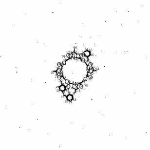 CC(C)C[C@H]1C(=O)O[C@H](Cc2ccc(Cc3ccccc3)cc2)C(=O)N(C)[C@@H](CC(C)C)C(=O)O[C@H](C)C(=O)N(C)[C@@H](CC(C)C)C(=O)O[C@H](Cc2ccccc2)C(=O)N(C)[C@@H](CC(C)C)C(=O)O[C@H](C)C(=O)N1C